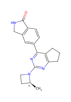 C[C@H]1CCN1c1nc2c(c(-c3ccc4c(c3)CNC4=O)n1)CCC2